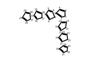 C1=CCC=C1.C1=CCC=C1.C1=CCC=C1.C1=CCC=C1.C1=CCC=C1.C1=CCC=C1.C1=CCC=C1